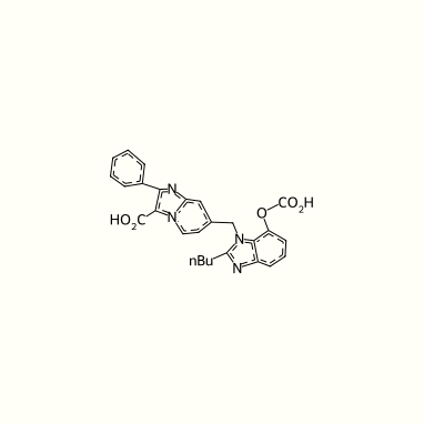 CCCCc1nc2cccc(OC(=O)O)c2n1Cc1ccn2c(C(=O)O)c(-c3ccccc3)nc2c1